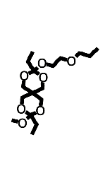 CCCOCCOC1(CC)OCC2(COC(CC)(OC)OC2)CO1